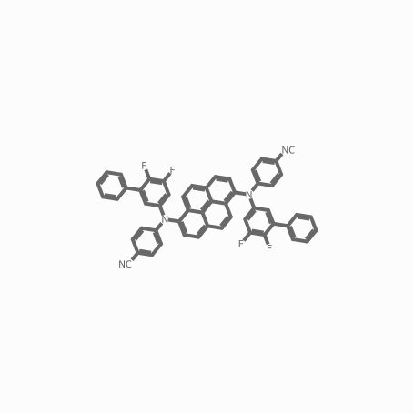 [C-]#[N+]c1ccc(N(c2cc(F)c(F)c(-c3ccccc3)c2)c2ccc3ccc4c(N(c5ccc(C#N)cc5)c5cc(F)c(F)c(-c6ccccc6)c5)ccc5ccc2c3c54)cc1